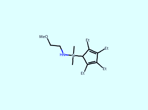 CCC1=C(CC)C([Si](C)(C)NCCOC)C(CC)=C1CC